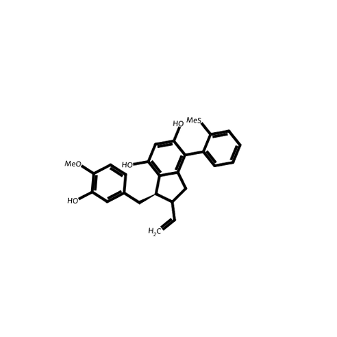 C=CC1Cc2c(-c3ccccc3SC)c(O)cc(O)c2[C@@H]1Cc1ccc(OC)c(O)c1